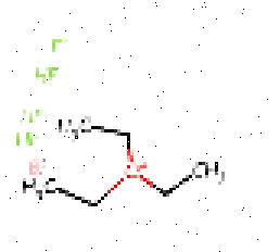 CC[O+](CC)CC.F.F.F.[B].[F-]